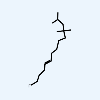 CC(C)CC(C)(C)CCCC/C=C/CCCF